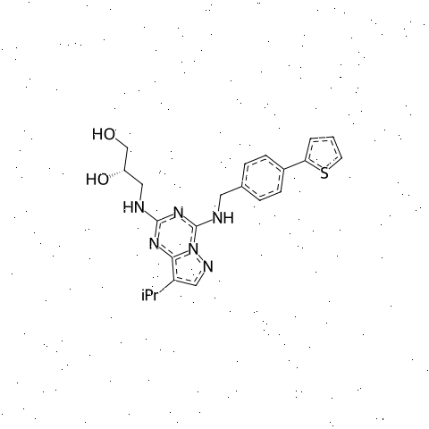 CC(C)c1cnn2c(NCc3ccc(-c4cccs4)cc3)nc(NC[C@H](O)CO)nc12